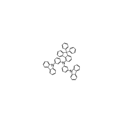 c1ccc(C2(c3ccccc3)c3ccccc3-c3c(N(c4cccc(-n5c6ccccc6c6ccccc65)c4)c4cccc(-n5c6ccccc6c6ccccc65)c4)cccc32)cc1